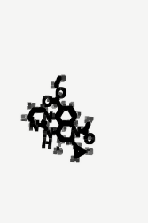 CCOC(=O)c1ccc2c(c1)[C@H](Nc1ncccn1)[C@@H](C)[C@H](C1CC1)N2C(C)=O